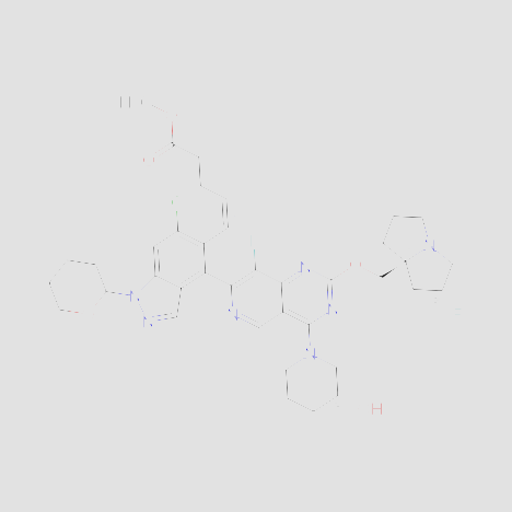 COC(=O)CC/C=C\c1c(Cl)cc2c(cnn2C2CCCCO2)c1-c1ncc2c(N3CCC[C@@H](O)C3)nc(OC[C@@]34CCCN3C[C@H](F)C4)nc2c1F